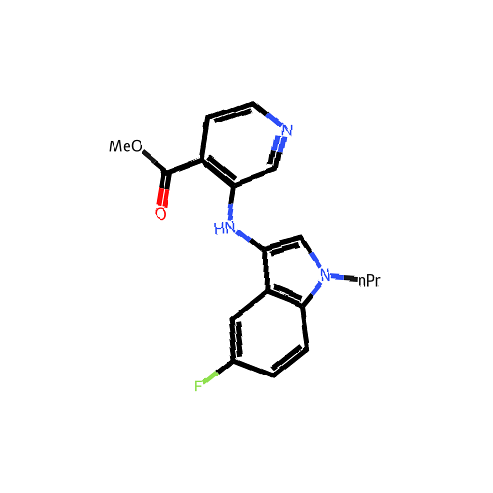 CCCn1cc(Nc2cnccc2C(=O)OC)c2cc(F)ccc21